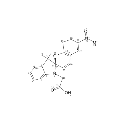 CC1(C)c2ccccc2N(CC(=O)O)[C@@]12C=CC1=C(CCC([N+](=O)[O-])=C1)O2